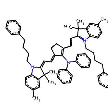 Cc1ccc2c(c1)C(C)(C)C(/C=C/C1=C(N(c3ccccc3)c3ccccc3)C(=C/C=C3/N(CCCCc4ccccc4)c4ccc(C)cc4C3(C)C)/CC1)=[N+]2CCCCc1ccccc1